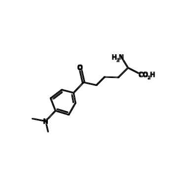 CN(C)c1ccc(C(=O)CCCC(N)C(=O)O)cc1